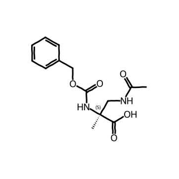 CC(=O)NC[C@](C)(NC(=O)OCc1ccccc1)C(=O)O